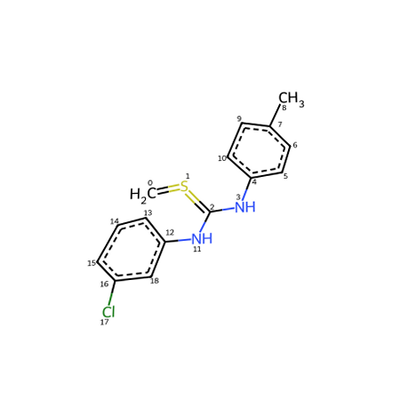 C=S=C(Nc1ccc(C)cc1)Nc1cccc(Cl)c1